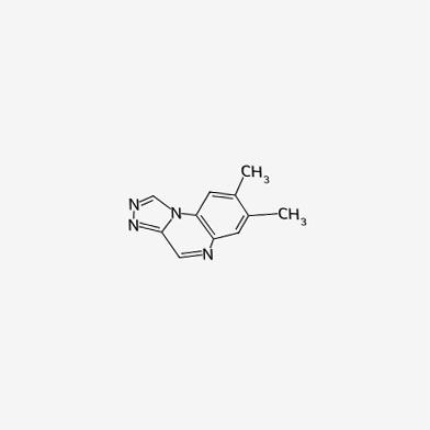 Cc1cc2ncc3nncn3c2cc1C